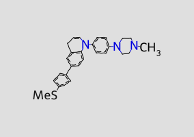 CSc1ccc(-c2ccc3c(c2)CC=CN3c2ccc(N3CCN(C)CC3)cc2)cc1